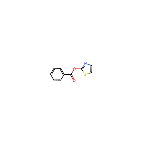 O=C(Oc1nccs1)c1ccccc1